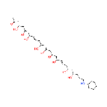 CC(=O)CC(O)CC(O)CC(O)/C=C/CC(O)CC(O)CC(O)CC(O)/C=C/CC(O)CC(O)CCCNC1CCCCC1